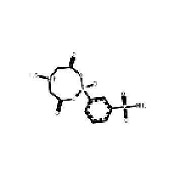 C[NH+]1CC(=O)O[B-](C)(c2cccc(S(N)(=O)=O)c2)OC(=O)C1